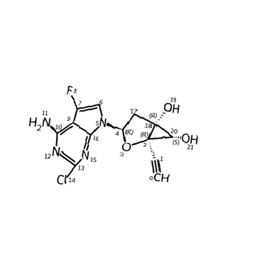 C#C[C@]12O[C@@H](n3cc(F)c4c(N)nc(Cl)nc43)C[C@@]1(O)[C@@H]2O